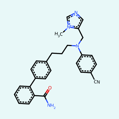 Cn1cncc1CN(CCCc1ccc(-c2ccccc2C(N)=O)cc1)c1ccc(C#N)cc1